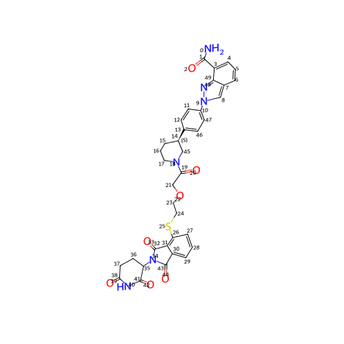 NC(=O)c1cccc2cn(-c3ccc([C@@H]4CCCN(C(=O)COCCSc5cccc6c5C(=O)N(C5CCC(=O)NC5=O)C6=O)C4)cc3)nc12